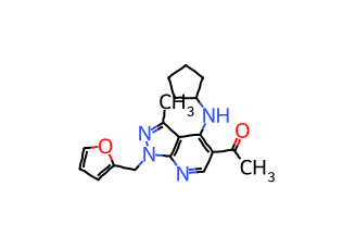 CC(=O)c1cnc2c(c(C)nn2Cc2ccco2)c1NC1CCCC1